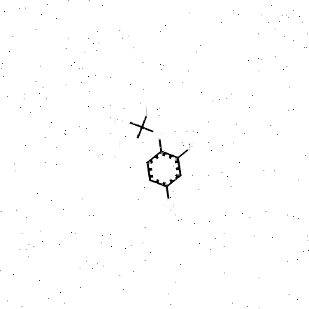 CCc1cc(Br)ccc1OC(C)(C)CC